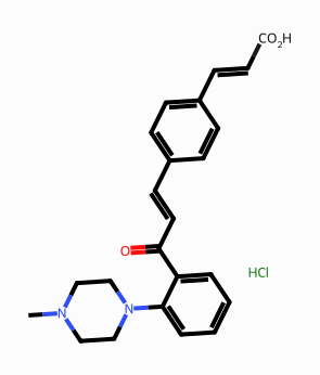 CN1CCN(c2ccccc2C(=O)C=Cc2ccc(C=CC(=O)O)cc2)CC1.Cl